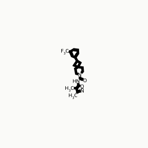 Cc1noc(NC(=O)N2CCC3(CC2)CC(c2cccc(C(F)(F)F)c2)C3)c1C